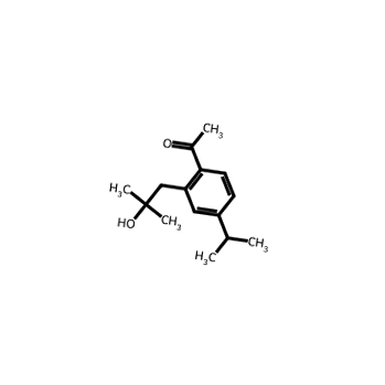 CC(=O)c1ccc(C(C)C)cc1CC(C)(C)O